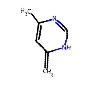 C=C1C=C(C)N=CN1